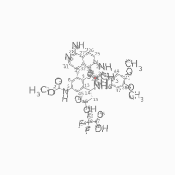 COC(=O)Nc1ccc(SC(C)C)c([C@@H](CC(=O)O)NC(=O)[C@H](Nc2ccc3c(N)nccc3c2)c2ccc(OC)c(OC)c2)c1.O=C(O)C(F)(F)F